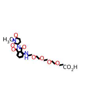 CN1C(=O)CCC(N2C(=O)c3cccc(NCCOCCOCCOCCOCCC(=O)O)c3C2=O)C1=O